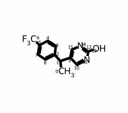 CC(c1ccc(C(F)(F)F)cc1)c1cnc(O)nc1